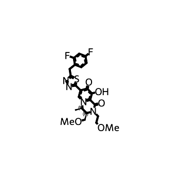 COCCN1C(=O)c2c(O)c(=O)c(-c3nnc(Cc4ccc(F)cc4F)s3)cn2[C@H](C)[C@@H]1COC